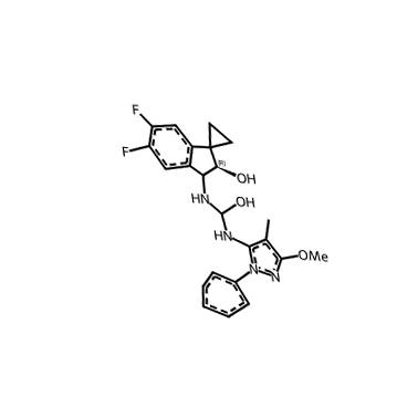 COc1nn(-c2ccccc2)c(NC(O)NC2c3cc(F)c(F)cc3C3(CC3)[C@H]2O)c1C